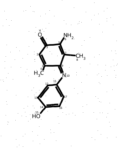 CC1=CC(=O)C(N)=C(C)C1=Nc1ccc(O)cc1